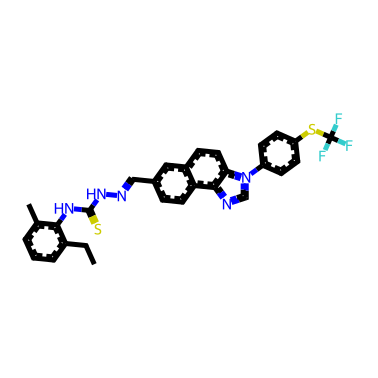 CCc1cccc(C)c1NC(=S)N/N=C/c1ccc2c(ccc3c2ncn3-c2ccc(SC(F)(F)F)cc2)c1